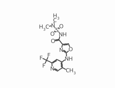 Cc1cnc(C(F)(F)F)cc1Nc1nc(C(=O)NS(=O)(=O)N(C)C)co1